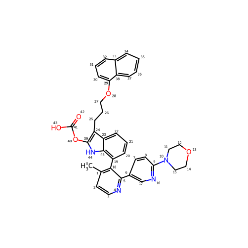 Cc1ccnc(-c2ccc(N3CCOCC3)nc2)c1-c1cccc2c(CCCOc3cccc4ccccc34)c(OC(=O)O)[nH]c12